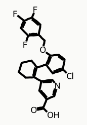 O=C(O)c1cncc(C2=C(c3cc(Cl)ccc3OCc3cc(F)c(F)cc3F)CCCC2)c1